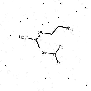 CC(NCCN)C(=O)O.CCN(CC)CC